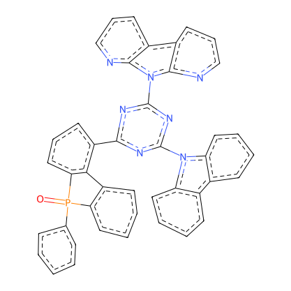 O=P1(c2ccccc2)c2ccccc2-c2c(-c3nc(-n4c5ccccc5c5ccccc54)nc(-n4c5ncccc5c5cccnc54)n3)cccc21